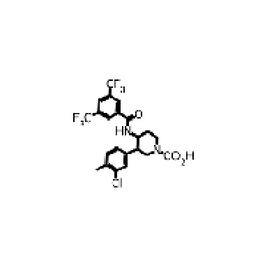 Cc1ccc(C2CN(C(=O)O)CCC2NC(=O)c2cc(C(F)(F)F)cc(C(F)(F)F)c2)cc1Cl